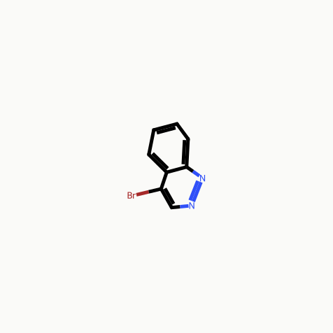 Brc1cnnc2ccccc12